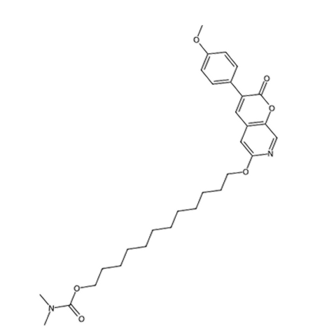 COc1ccc(-c2cc3cc(OCCCCCCCCCCCCOC(=O)N(C)C)ncc3oc2=O)cc1